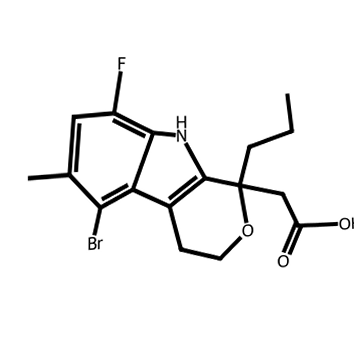 CCCC1(CC(=O)O)OCCc2c1[nH]c1c(F)cc(C)c(Br)c21